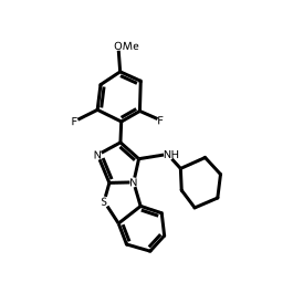 COc1cc(F)c(-c2nc3sc4ccccc4n3c2NC2CCCCC2)c(F)c1